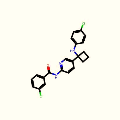 O=C(Nc1ccc(C2(Nc3ccc(Cl)cc3)CCC2)cn1)c1cccc(Cl)c1